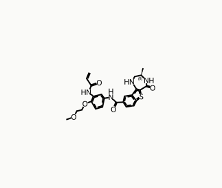 C=CC(=O)Nc1cc(NC(=O)c2ccc3sc4c(c3c2)NC[C@@H](C)NC4=O)ccc1OCCOC